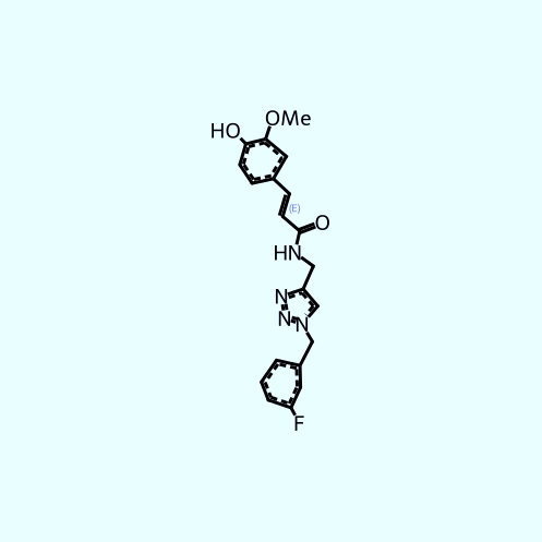 COc1cc(/C=C/C(=O)NCc2cn(Cc3cccc(F)c3)nn2)ccc1O